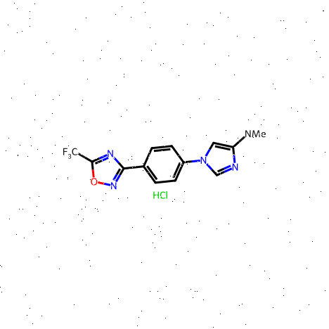 CNc1cn(-c2ccc(-c3noc(C(F)(F)F)n3)cc2)cn1.Cl